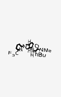 CCCC[C@H](N[C@H]1CC[C@@H]2CN(c3cccc(C(F)(F)F)n3)C[C@@H]21)C(=O)NC